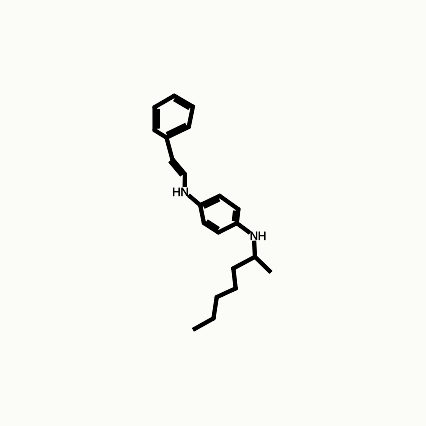 CCCCCC(C)Nc1ccc(NC=Cc2ccccc2)cc1